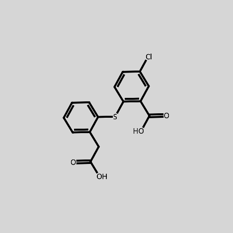 O=C(O)Cc1ccccc1Sc1ccc(Cl)cc1C(=O)O